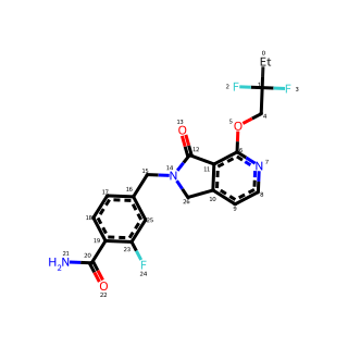 CCC(F)(F)COc1nccc2c1C(=O)N(Cc1ccc(C(N)=O)c(F)c1)C2